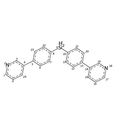 c1cncc(-c2ccc([SiH2]c3ccc(-c4cccnc4)cc3)cc2)c1